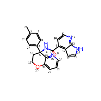 Cc1ccc([C@@]2(NC(=O)c3ccnc4[nH]ccc34)CCOc3cccnc32)cc1